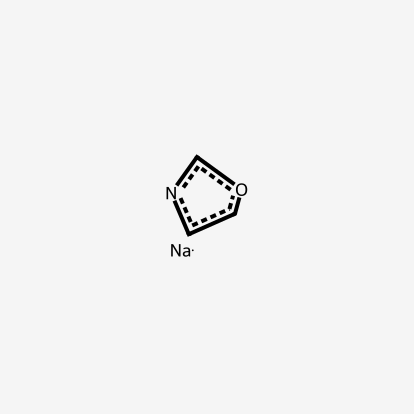 [Na].c1cocn1